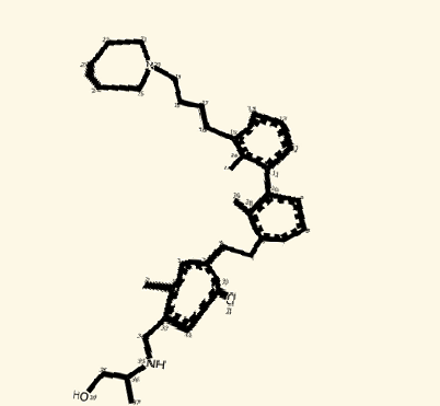 Cc1cc(CCc2cccc(-c3cccc(CCCCN4CCCCC4)c3C)c2C)c(Cl)cc1CNC(C)CO